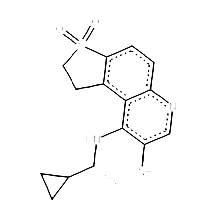 C[C@@H](Nc1c(N)cnc2ccc3c(c12)CCS3(=O)=O)C1CC1